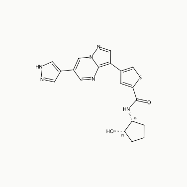 O=C(N[C@@H]1CCC[C@@H]1O)c1cc(-c2cnn3cc(-c4cn[nH]c4)cnc23)cs1